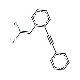 FC(F)(F)C(Cl)=Cc1ccccc1C#Cc1ccccc1